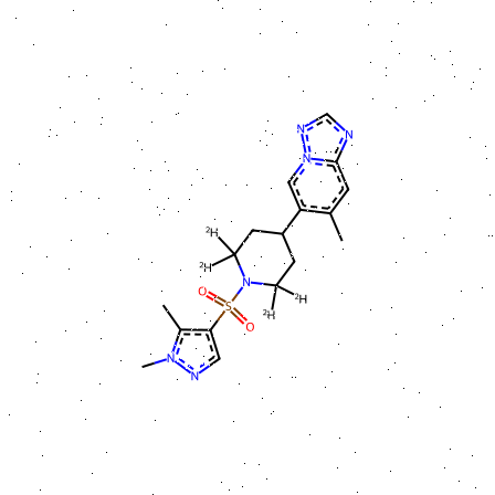 [2H]C1([2H])CC(c2cn3ncnc3cc2C)CC([2H])([2H])N1S(=O)(=O)c1cnn(C)c1C